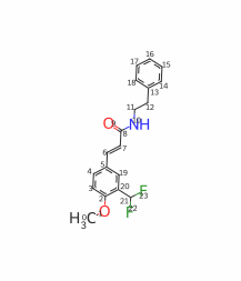 COc1ccc(C=CC(=O)NCCc2ccccc2)cc1C(F)F